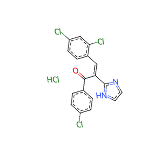 Cl.O=C(C(=Cc1ccc(Cl)cc1Cl)c1ncc[nH]1)c1ccc(Cl)cc1